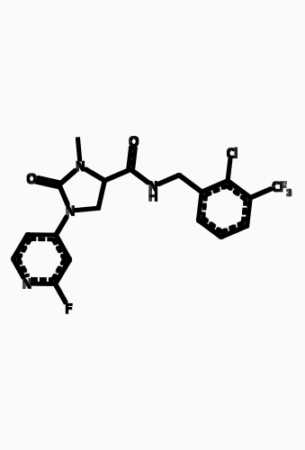 CN1C(=O)N(c2ccnc(F)c2)CC1C(=O)NCc1cccc(C(F)(F)F)c1Cl